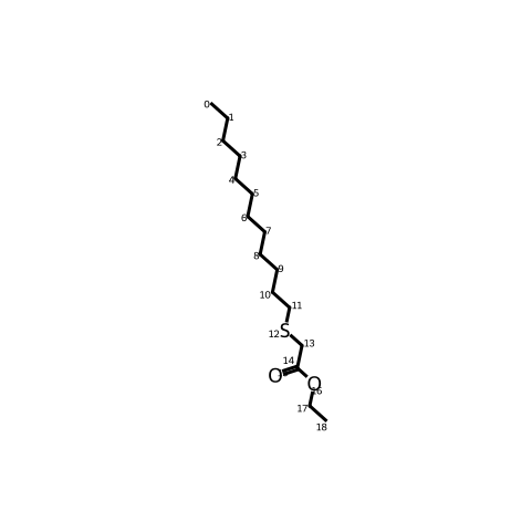 CCCCCCCCCCCCSCC(=O)OCC